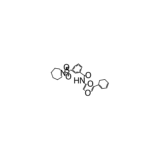 O=C(NC1=COC=C(C2=CC=CCC2)O1)c1cccc(S(=O)(=O)N2CCCCCC2)c1